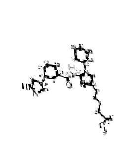 COC(=O)CCCCc1cn(-c2ccccc2)c(NC(=O)c2cccc(-c3cn[nH]c3)c2)n1